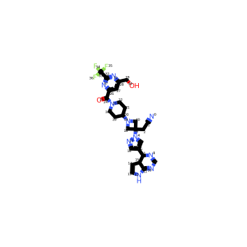 N#CCC1(n2cc(C3N=CN=C4NC=CC43)cn2)CN(C2CCN(C(=O)c3cc(CO)nc(C(F)(F)F)n3)CC2)C1